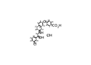 Cl.O=C(O)c1ccc(Oc2ccc3c(c2)C[C@@H](NC[C@@H](O)c2cccc(Cl)c2)CC3)cc1